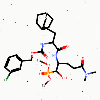 CCOP(=O)(OCC)C(O)[C@H](CCC(=O)N(C)C)NC(=O)C(CC1CC2CCC1CC2)NC(=O)OCc1cccc(Cl)c1